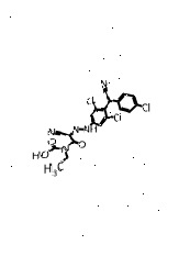 CCN(C(=O)O)C(=O)C(C#N)=NNc1cc(Cl)c(C(C#N)c2ccc(Cl)cc2)c(Cl)c1